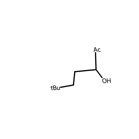 CC(=O)C(O)CCC(C)(C)C